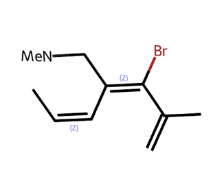 C=C(C)/C(Br)=C(\C=C/C)CNC